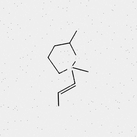 CC=C[Si]1(C)CCCC(C)O1